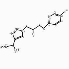 CNC(O)c1cn(CC(F)CCc2ccc(I)nn2)nn1